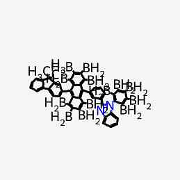 Bc1c(B)c(B)c(-n2c(-c3cccc(-c4c5c(B)c(B)c(B)c(B)c5c(-c5ccc6c(c5)C(C)(C)c5ccccc5-6)c5c(B)c(B)c(B)c(B)c45)c3)nc3ccccc32)c(B)c1B